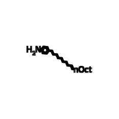 CCCCCCCCC=CCCCCCCCCc1ccc(N)cc1